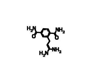 NC(=O)c1ccc(C(N)=O)c(CC=C(N)N)c1